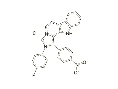 O=[N+]([O-])c1ccc(-c2c3c4[nH]c5ccccc5c4cc[n+]3cn2-c2ccc(F)cc2)cc1.[Cl-]